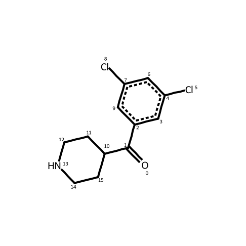 O=C(c1cc(Cl)cc(Cl)c1)C1CCNCC1